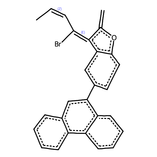 C=c1oc2ccc(-c3cc4ccccc4c4ccccc34)cc2/c1=C(Br)/C=C\C